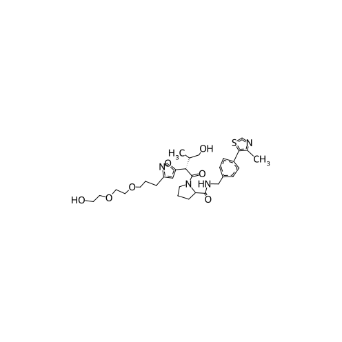 Cc1ncsc1-c1ccc(CNC(=O)C2CCCN2C(=O)[C@H](c2cc(CCCOCCOCCO)no2)C(C)CO)cc1